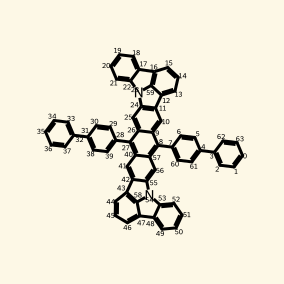 c1ccc(-c2ccc(-c3c4cc5c6cccc7c8ccccc8n(c5cc4c(-c4ccc(-c5ccccc5)cc4)c4cc5c8cccc9c%10ccccc%10n(c5cc34)c98)c76)cc2)cc1